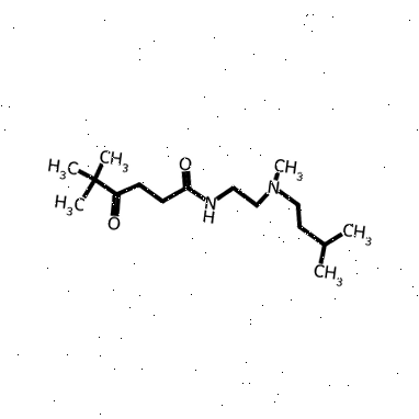 CC(C)CCN(C)CCNC(=O)CCC(=O)C(C)(C)C